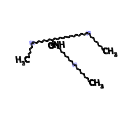 CCCCCC/C=C\CCCCCCC(CCCCCCCCCCCC/C=C\CCCCCCCC)C(=O)NCCCCCCCC/C=C/CCCCCCCC